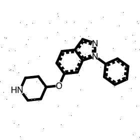 c1ccc(-n2ncc3ccc(OC4CCNCC4)cc32)cc1